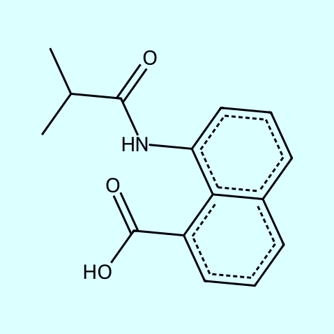 CC(C)C(=O)Nc1cccc2cccc(C(=O)O)c12